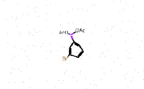 CC(=O)OI(OC(C)=O)c1cccc(Br)c1